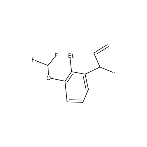 [CH2]C(C=C)c1cccc(OC(F)F)c1CC